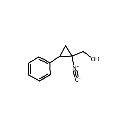 [C-]#[N+]C1(CO)CC1c1ccccc1